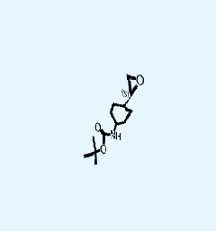 CC(C)(C)OC(=O)NC1CCC([C@H]2CO2)CC1